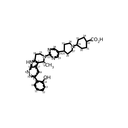 C[C@H]1c2c([nH]c3nnc(-c4ccccc4O)cc23)CCN1c1ncc(C2CCN(C3CCC(C(=O)O)CC3)CC2)cn1